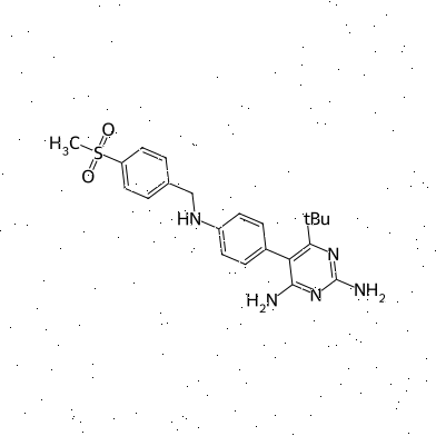 CC(C)(C)c1nc(N)nc(N)c1-c1ccc(NCc2ccc(S(C)(=O)=O)cc2)cc1